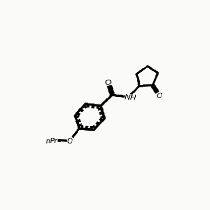 CCCOc1ccc(C(=O)NC2CCCC2=O)cc1